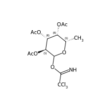 CC(=O)O[C@@H]1[C@H](OC(C)=O)[C@H](C)OC(OC(=N)C(Cl)(Cl)Cl)[C@H]1OC(C)=O